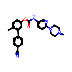 Cc1ccc(OC(=O)Nc2ccc(N3CCN(C)CC3)nc2)cc1-c1ccc(C#N)cc1